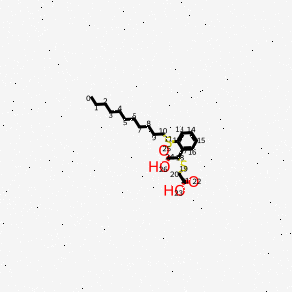 CCCCCCCCCCCSc1ccccc1C(SCC(=O)O)C(=O)O